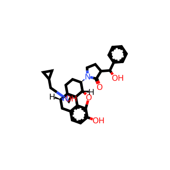 O=C1C(C(O)c2ccccc2)CCN1[C@H]1CCC2(O)[C@H]3Cc4ccc(O)c5c4[C@@]2(CCN3CC2CC2)[C@H]1O5